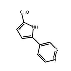 O=Cc1ccc(-c2ccnnc2)[nH]1